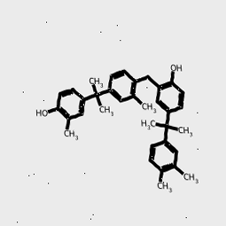 Cc1ccc(C(C)(C)c2ccc(O)c(Cc3ccc(C(C)(C)c4ccc(O)c(C)c4)cc3C)c2)cc1C